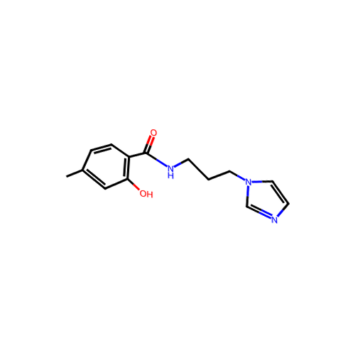 Cc1ccc(C(=O)NCCCn2ccnc2)c(O)c1